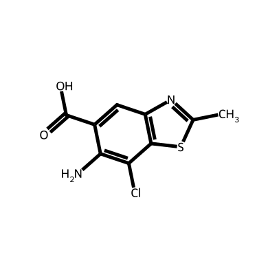 Cc1nc2cc(C(=O)O)c(N)c(Cl)c2s1